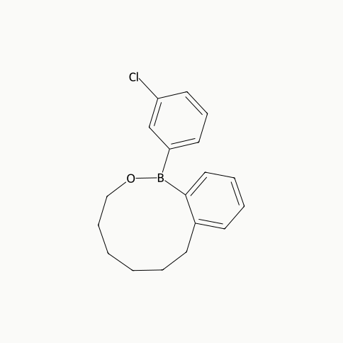 Clc1cccc(B2OCCCCCCc3ccccc32)c1